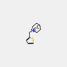 c1csc(C[N+]23CCC(CC2)CC3)c1